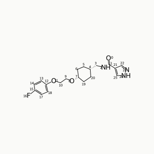 O=C(NC[C@H]1CC[C@@H](OCCOc2ccc(F)cc2)CC1)c1cn[nH]c1